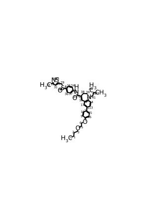 CCCCOCCOc1ccc(-c2ccc3c(c2)C=C(C(=O)Nc2ccc([S+]([O-])Cc4cc(C)ns4)cc2)CCN3CC(C)C)cc1